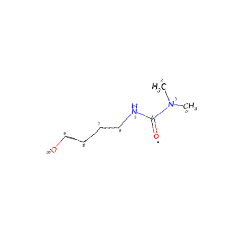 CN(C)C(=O)NCCCC[O]